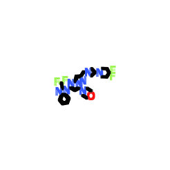 FC(F)c1nc2ccccc2n1-c1cc(N2CCOCC2)n2nc(CN3CC(N4CCC(F)(F)CC4)C3)cc2n1